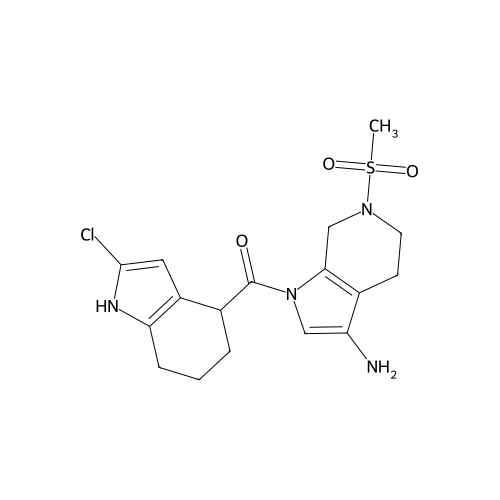 CS(=O)(=O)N1CCc2c(N)cn(C(=O)C3CCCc4[nH]c(Cl)cc43)c2C1